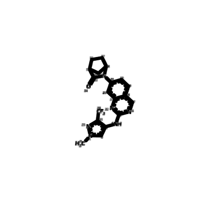 Cn1cc(Nc2ncc3ccc(N4C(=O)C5CCC4C5)cc3n2)c(C(F)(F)F)n1